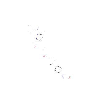 CCN(C(=O)[C@@H]1CCN(CC(=O)N2CC=C(c3ccc(C(=N)OC(=O)NC)cc3)CC2)C1)c1ccc(N)c(C(=N)C2C[C@@H](C)O[C@@H](C)C2)n1